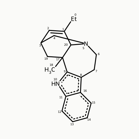 CCC1=CC2CN3CCc4c([nH]c5ccccc45)C(C)(C2)C13